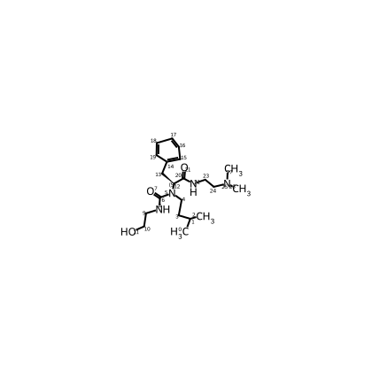 CC(C)CCN(C(=O)NCCO)[C@@H](Cc1ccccc1)C(=O)NCCN(C)C